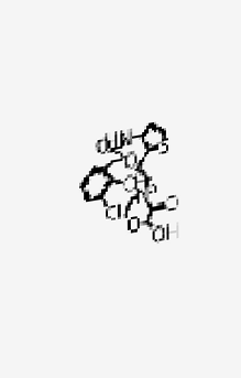 Cc1c(Cl)cccc1S(=O)(=O)Nc1ccsc1CCN1CCOC(O)C1=O